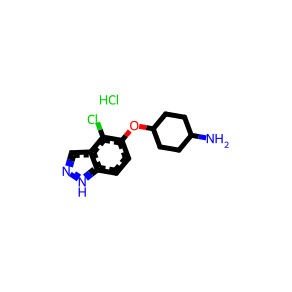 Cl.NC1CCC(Oc2ccc3[nH]ncc3c2Cl)CC1